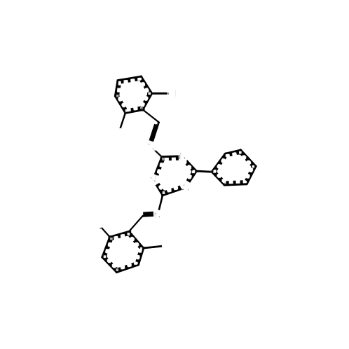 Clc1cccc(Cl)c1C=Nc1nc(N=Cc2c(Cl)cccc2Cl)nc(-c2ccccc2)n1